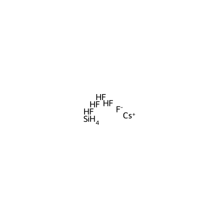 F.F.F.F.[Cs+].[F-].[SiH4]